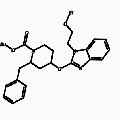 CCOCCn1c(OC2CCN(C(=O)OC(C)(C)C)C(Cc3ccccc3)C2)nc2ccccc21